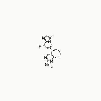 Cc1cnc2c(F)cc(C3=CCCCc4nc(N)ncc43)cn12